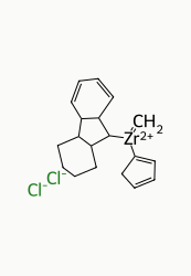 [CH2]=[Zr+2]([C]1=CC=CC1)[CH]1C2C=CC=CC2C2CCCCC21.[Cl-].[Cl-]